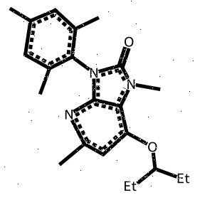 CCC(CC)Oc1cc(C)nc2c1n(C)c(=O)n2-c1c(C)cc(C)cc1C